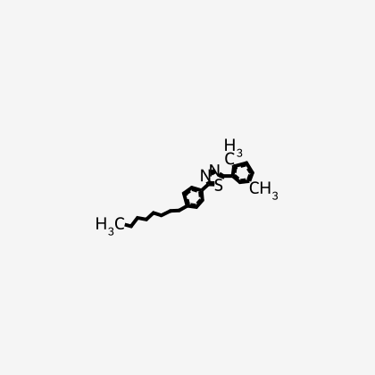 CCCCCCCCc1ccc(-c2nnc(-c3cc(C)ccc3C)s2)cc1